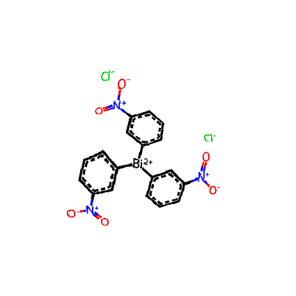 O=[N+]([O-])c1ccc[c]([Bi+2]([c]2cccc([N+](=O)[O-])c2)[c]2cccc([N+](=O)[O-])c2)c1.[Cl-].[Cl-]